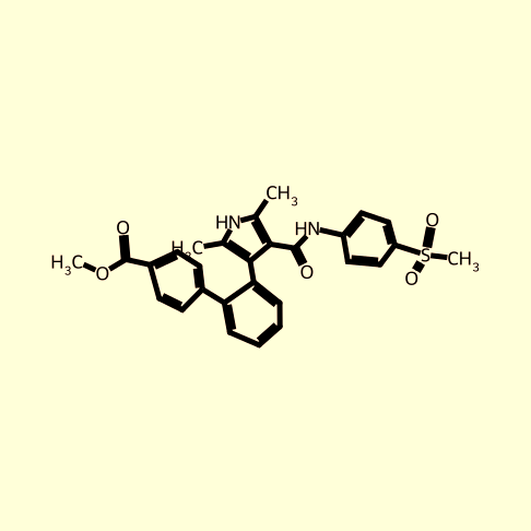 COC(=O)c1ccc(-c2ccccc2-c2c(C)[nH]c(C)c2C(=O)Nc2ccc(S(C)(=O)=O)cc2)cc1